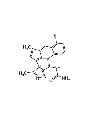 Cc1cc2c3c(c(NC(N)=O)c4nnc(C)n42)-c2cccc(F)c2Cn13